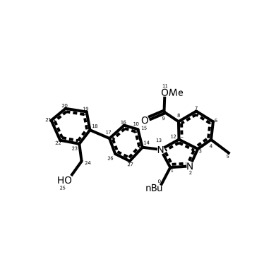 CCCCc1nc2c(C)ccc(C(=O)OC)c2n1-c1ccc(-c2ccccc2CO)cc1